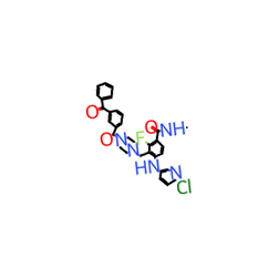 [NH]C(=O)c1ccc(Nc2ccc(Cl)nc2)c(CN2CCN(C(=O)c3cccc(C(=O)c4ccccc4)c3)CC2)c1F